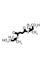 CC(C)(CC(=O)O)SC(=O)CCC(=O)SC(C)(C)CC(=O)O